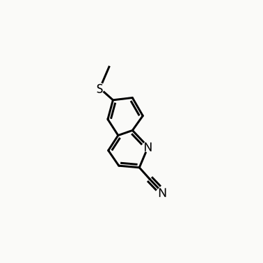 CSc1ccc2nc(C#N)ccc2c1